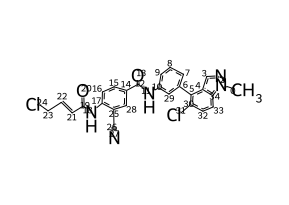 Cn1ncc2c(-c3cccc(NC(=O)c4ccc(NC(=O)/C=C/CCl)c(C#N)c4)c3)c(Cl)ccc21